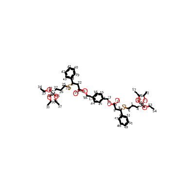 CCO[Si](CCCSC(CC(=O)OCc1ccc(COC(=O)CC(SCCC[Si](OCC)(OCC)OCC)c2ccccc2)cc1)c1ccccc1)(OCC)OCC